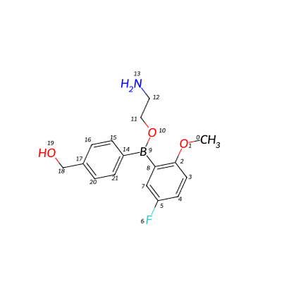 COc1ccc(F)cc1B(OCCN)c1ccc(CO)cc1